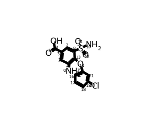 Nc1cc(C(=O)O)cc(S(N)(=O)=O)c1Oc1cccc(Cl)c1